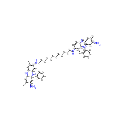 Cc1cc2nc3cc(C)c(NCCCCCCCCCCCCNc4ccc5nc6cc(C)c(N)cc6[n+](-c6ccccc6)c5c4C)cc3[n+](-c3ccccc3)c2cc1N